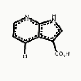 O=C(O)c1c[nH]c2nccc(Cl)c12